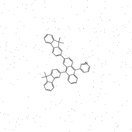 CC1(C)c2ccccc2-c2cc(-c3c4ccccc4c(-c4cccnc4)c4ccc(-c5ccc6c(c5)C(C)(C)c5ccccc5-6)cc34)ccc21